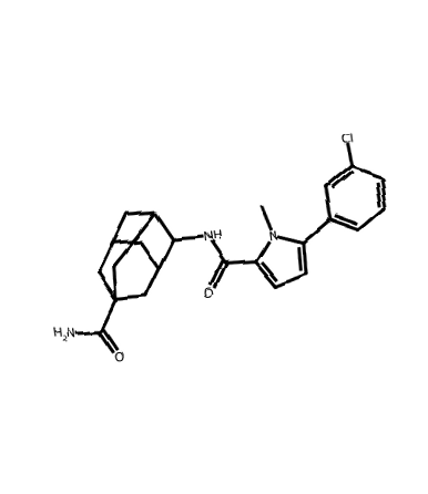 Cn1c(C(=O)NC2C3CC4CC2CC(C(N)=O)(C4)C3)ccc1-c1cccc(Cl)c1